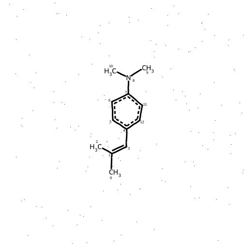 CC(C)=Cc1ccc(N(C)C)cc1